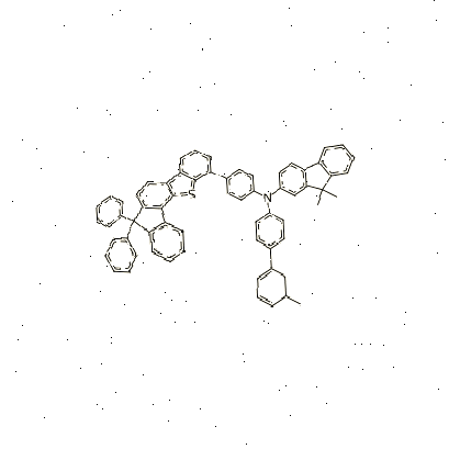 CC1C=CC=C(c2ccc(N(c3ccc(-c4cccc5c4sc4c6c(ccc45)C(c4ccccc4)(c4ccccc4)c4ccccc4-6)cc3)c3ccc4c(c3)C(C)(C)c3ccccc3-4)cc2)C1